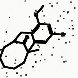 COc1cc(Br)cc2c1CC1CCCCCC2(C)C1=O